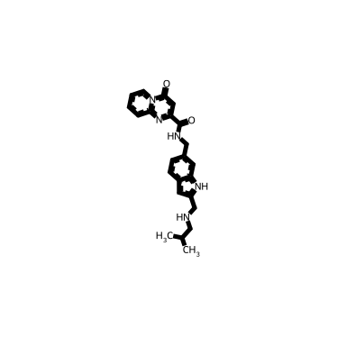 CC(C)CNCc1cc2ccc(CNC(=O)c3cc(=O)n4ccccc4n3)cc2[nH]1